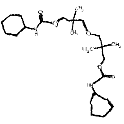 CC(C)(COCC(C)(C)COC(=O)NC1CCCCC1)COC(=O)NC1CCCCC1